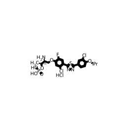 CC(C)Oc1ccc(-c2nnc(-c3cc(F)c(OC[C@H](N)[C@H](C)OP(=O)(O)O)cc3Cl)s2)cc1Cl.Cl